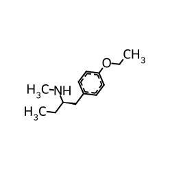 CCOc1ccc(C[C@@H](CC)NC)cc1